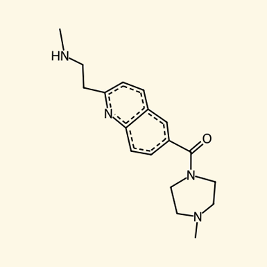 CNCCc1ccc2cc(C(=O)N3CCN(C)CC3)ccc2n1